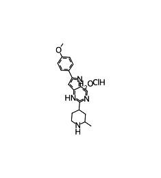 COc1ccc(-c2cc3[nH]c(C4CCNC(C)C4)ncc-3n2)cc1.Cl.O